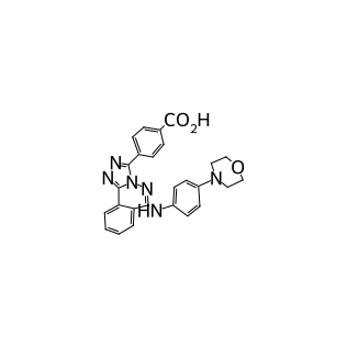 O=C(O)c1ccc(-c2nnc3c4ccccc4c(Nc4ccc(N5CCOCC5)cc4)nn23)cc1